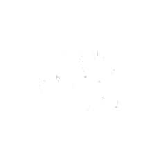 CN1CCN(C)C(C(=O)N(C)C)C1